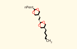 C=CCCC[C@H]1CO[C@H](CC[C@H]2CO[C@H](CCCCC)OC2)OC1